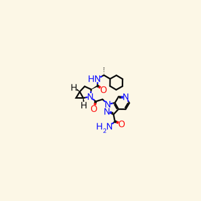 C[C@@H](NC(=O)[C@@H]1C[C@H]2C[C@H]2N1C(=O)Cn1nc(C(N)=O)c2ccncc21)C1CCCCC1